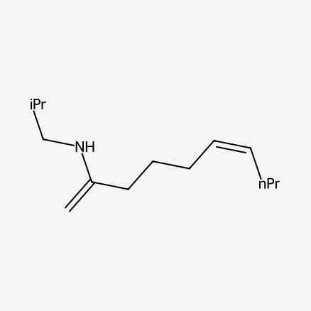 C=C(CCC/C=C\CCC)NCC(C)C